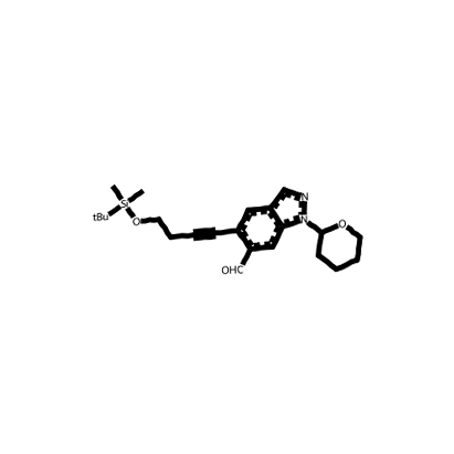 CC(C)(C)[Si](C)(C)OCCC#Cc1cc2cnn(C3CCCCO3)c2cc1C=O